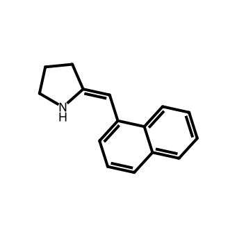 C(=C1\CCCN1)/c1cccc2ccccc12